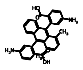 Cc1ccc(C)c2c(-c3cc(N)ccc3C(=O)O)c3ccccc3c(-c3cc(N)ccc3C(=O)O)c12